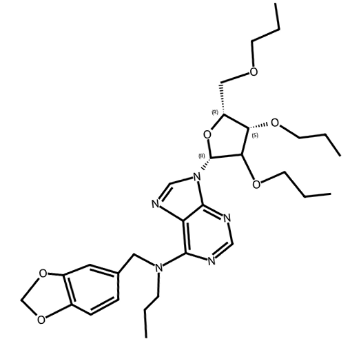 CCCOC[C@H]1O[C@@H](n2cnc3c(N(CCC)Cc4ccc5c(c4)OCO5)ncnc32)C(OCCC)[C@H]1OCCC